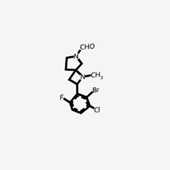 CN1C(c2c(F)ccc(Cl)c2Br)CC12CCN(C=O)C2